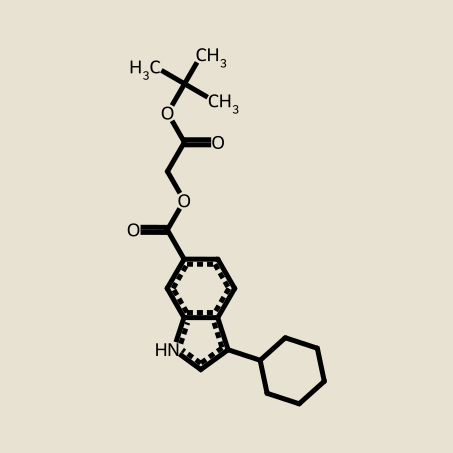 CC(C)(C)OC(=O)COC(=O)c1ccc2c(C3CCCCC3)c[nH]c2c1